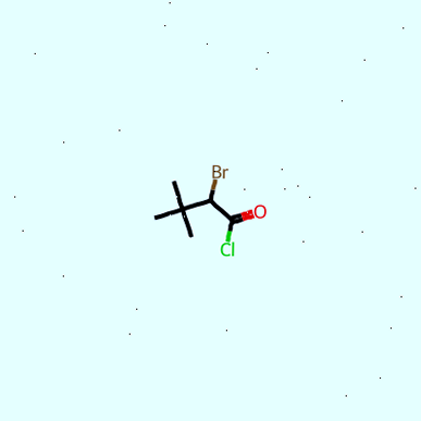 CC(C)(C)C(Br)C(=O)Cl